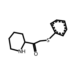 O=C(CSc1ccccc1)C1CCCCN1